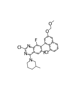 COCOc1cc(-c2c(F)cc3c(N4CCCC(C)C4)nc(Cl)nc3c2F)c2c(Cl)cccc2c1